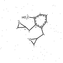 O=C(O)c1cccc(CC2CO2)c1CC1CO1